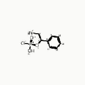 CC(C)CC(OP(=O)(O)Cl)c1ccccc1